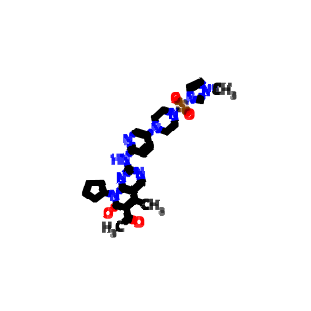 CC(=O)c1c(C)c2cnc(Nc3ccc(N4CCN(S(=O)(=O)n5cc[n+](C)c5)CC4)cn3)nc2n(C2CCCC2)c1=O